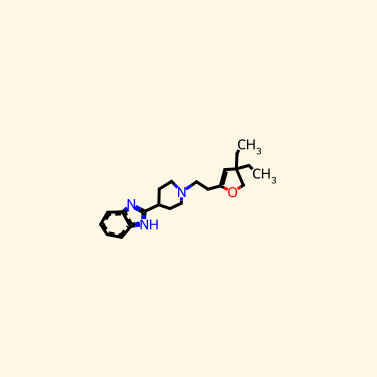 CCC1(CC)C=C(CCN2CCC(c3nc4ccccc4[nH]3)CC2)OC1